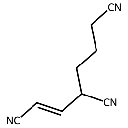 N#CC=CC(C#N)CCCC#N